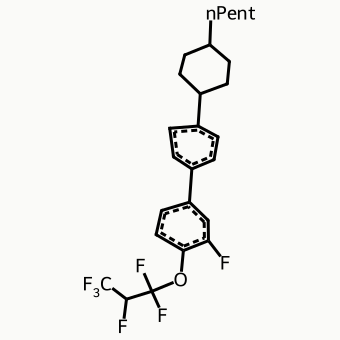 CCCCCC1CCC(c2ccc(-c3ccc(OC(F)(F)C(F)C(F)(F)F)c(F)c3)cc2)CC1